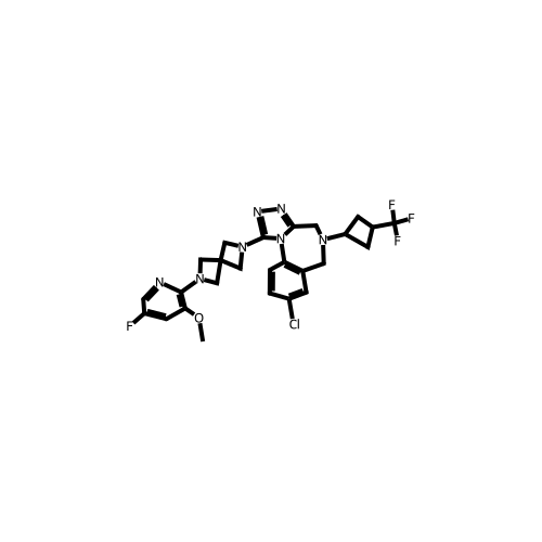 COc1cc(F)cnc1N1CC2(C1)CN(c1nnc3n1-c1ccc(Cl)cc1CN(C1CC(C(F)(F)F)C1)C3)C2